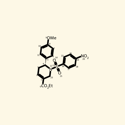 CCOC(=O)C1=CC[C@H](c2ccc(OC)cc2)N(S(=O)(=O)c2ccc([N+](=O)[O-])cc2)C1